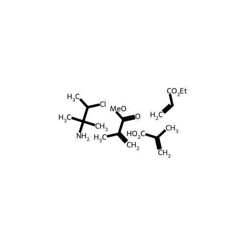 C=C(C)C(=O)O.C=C(C)C(=O)OC.C=CC(=O)OCC.CC(Cl)C(C)(C)N